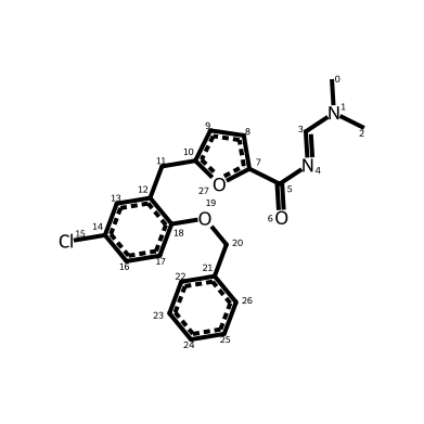 CN(C)/C=N/C(=O)c1ccc(Cc2cc(Cl)ccc2OCc2ccccc2)o1